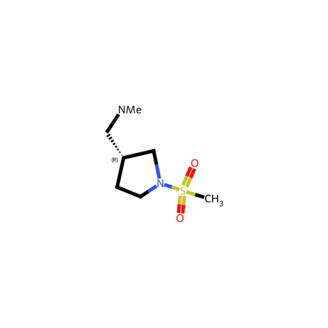 CNC[C@H]1CCN(S(C)(=O)=O)C1